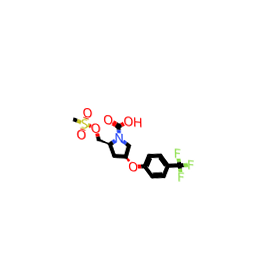 CS(=O)(=O)OC[C@@H]1C[C@H](Oc2ccc(C(F)(F)F)cc2)CN1C(=O)O